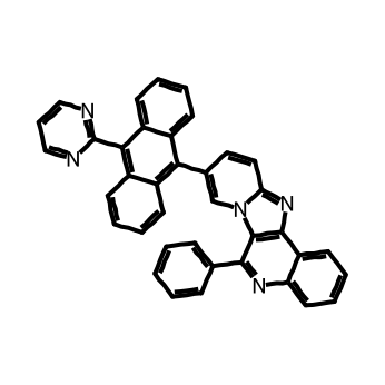 c1ccc(-c2nc3ccccc3c3nc4ccc(-c5c6ccccc6c(-c6ncccn6)c6ccccc56)cn4c23)cc1